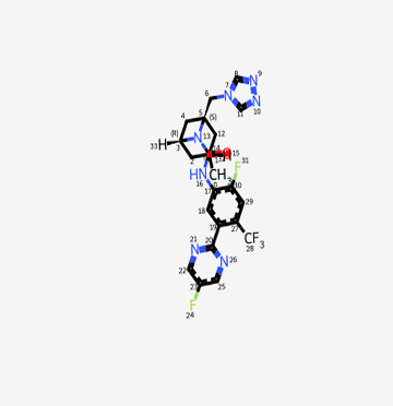 C[C@@H]1C[C@@H]2C[C@](Cn3cnnc3)(C1)N2C(=O)Nc1cc(-c2ncc(F)cn2)c(C(F)(F)F)cc1F